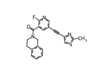 Cc1nc(C#Cc2cnc(F)c(C(=O)N3CCc4ccccc4C3)c2)cs1